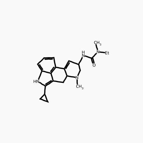 CCN(C)C(=O)NC1C=C2c3cccc4[nH]c(C5CC5)c(c34)CC2N(C)C1